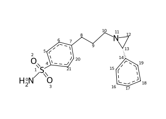 NS(=O)(=O)c1ccc(CCCN2C[C@@H]2c2ccccc2)cc1